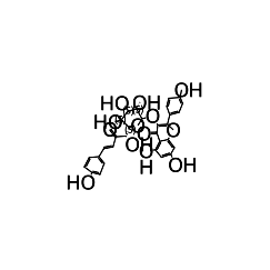 O=C(C=Cc1ccc(O)cc1)C(O)[C@H]1OC(Oc2c(-c3ccc(O)cc3)oc3cc(O)cc(O)c3c2=O)[C@@H](O)[C@@H](O)[C@@H]1O